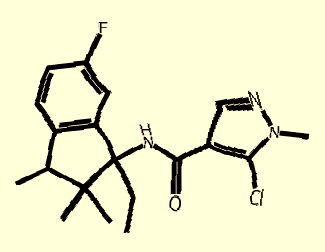 CCC1(NC(=O)c2cnn(C)c2Cl)c2cc(F)ccc2C(C)C1(C)C